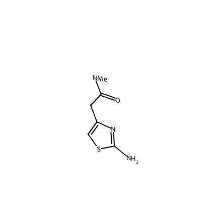 [CH2]NC(=O)Cc1csc(N)n1